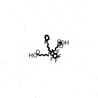 CC1(CCCCS(=O)(=O)O)\C(=C/C=C/C=N/c2ccccc2)N(CCCCCC(=O)O)c2c(F)c(F)c(F)c(F)c21